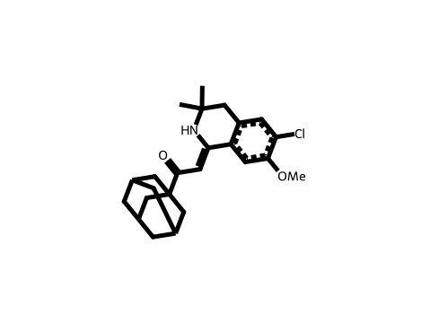 COc1cc2c(cc1Cl)CC(C)(C)NC2=CC(=O)C12CC3CC(CC(C3)C1)C2